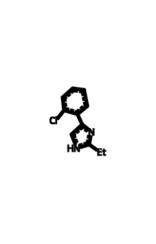 CCc1nc(-c2ccccc2Cl)c[nH]1